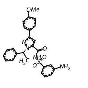 COc1ccc(-c2cc(C(=O)NS(=O)(=O)c3cccc(N)c3)n(C(C)c3ccccc3)n2)cc1